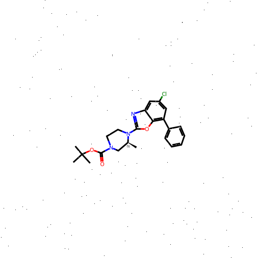 C[C@H]1CN(C(=O)OC(C)(C)C)CCN1c1nc2cc(Cl)cc(-c3ccccc3)c2o1